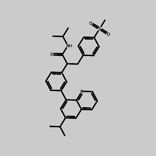 CC(C)NC(=O)C(Cc1ccc(S(C)(=O)=O)cc1)c1cccc(-c2cc(C(C)C)cc3cccnc23)c1